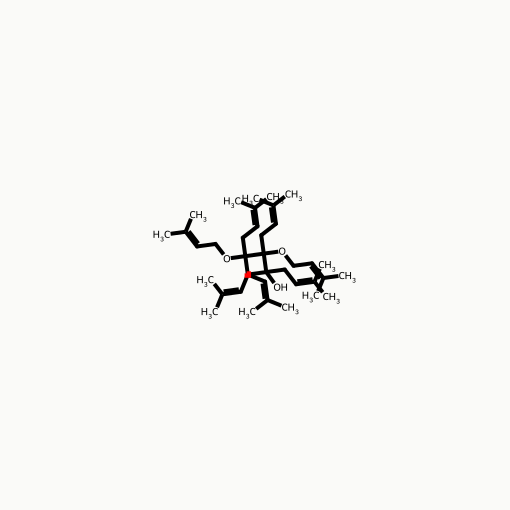 CC(C)=CCOC(CC=C(C)C)(CC=C(C)C)C(CC=C(C)C)(OCC=C(C)C)C(O)(CC=C(C)C)CC=C(C)C